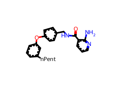 CCCCCc1cccc(Oc2ccc(CNC(=O)c3cccnc3N)cc2)c1